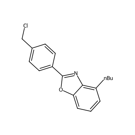 CCCCc1cccc2oc(-c3ccc(CCl)cc3)nc12